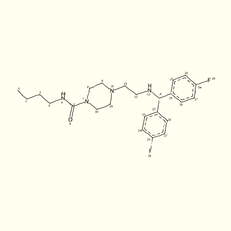 CCCCNC(=O)N1CCN(CCNC(c2ccc(F)cc2)c2ccc(F)cc2)CC1